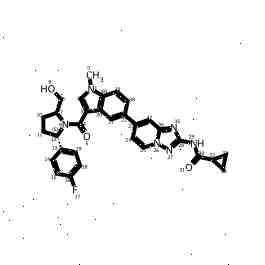 Cn1cc(C(=O)N2C(CO)CC[C@H]2c2ccc(F)cc2)c2cc(-c3ccn4nc(NC(=O)C5CC5)nc4c3)ccc21